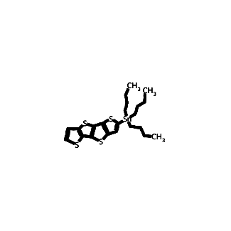 CCC[CH2][Sn]([CH2]CCC)([CH2]CCC)[c]1cc2sc3c4sccc4sc3c2s1